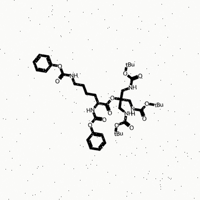 CC(C)(C)OC(=O)NCC(CNC(=O)OC(C)(C)C)(CNC(=O)OC(C)(C)C)OC(=O)C(CCCCNC(=O)Oc1ccccc1)NC(=O)Oc1ccccc1